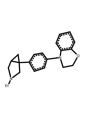 CCN1CC2CC2(c2ccc(N3CCOc4ccccc43)cc2)C1